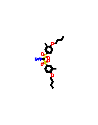 CCCCOc1ccc(S(=O)(=O)C(=[N+]=[N-])S(=O)(=O)c2ccc(OCCCC)c(C)c2)cc1C